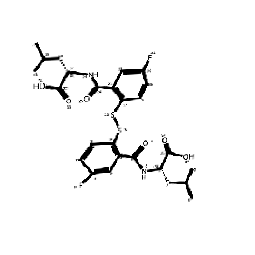 CC(C)C[C@H](NC(=O)c1cc(F)ccc1SSc1ccc(F)cc1C(=O)N[C@@H](CC(C)C)C(=O)O)C(=O)O